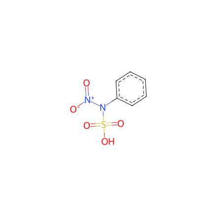 O=[N+]([O-])N(c1ccccc1)S(=O)(=O)O